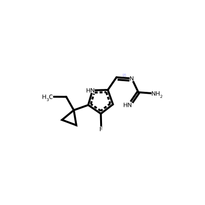 CCC1(c2[nH]c(/C=N\C(=N)N)cc2F)CC1